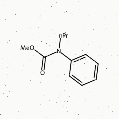 CCCN(C(=O)OC)c1ccccc1